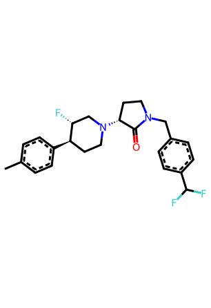 Cc1ccc([C@@H]2CCN([C@@H]3CCN(Cc4ccc(C(F)F)cc4)C3=O)C[C@H]2F)cc1